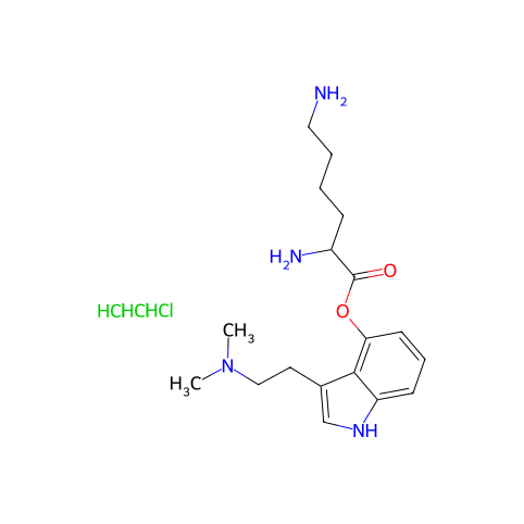 CN(C)CCc1c[nH]c2cccc(OC(=O)C(N)CCCCN)c12.Cl.Cl.Cl